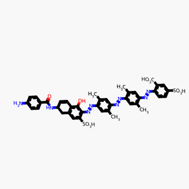 Cc1cc(N=Nc2c(S(=O)(=O)O)cc3c(c2O)C=CC(NC(=O)c2ccc(N)cc2)C3)c(C)cc1N=Nc1cc(C)c(/N=N/c2ccc(S(=O)(=O)O)cc2C(=O)O)cc1C